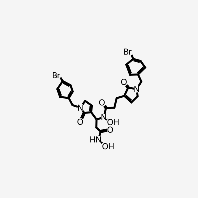 O=C(CC(C1=CCN(Cc2ccc(Br)cc2)C1=O)N(O)C(=O)CCC1=CCN(Cc2ccc(Br)cc2)C1=O)NO